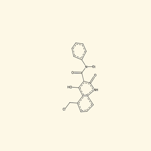 CCN(C(=O)c1c(O)c2c(CCl)cccc2[nH]c1=O)c1ccccc1